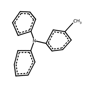 Cc1cccc(N(c2ccccc2)c2ccccc2)c1